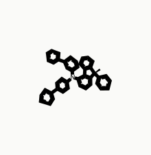 C[C@]1(c2ccccc2)c2ccccc2-c2c(N(c3ccc(-c4ccccc4)cc3)c3cccc(-c4ccccc4)c3)cccc21